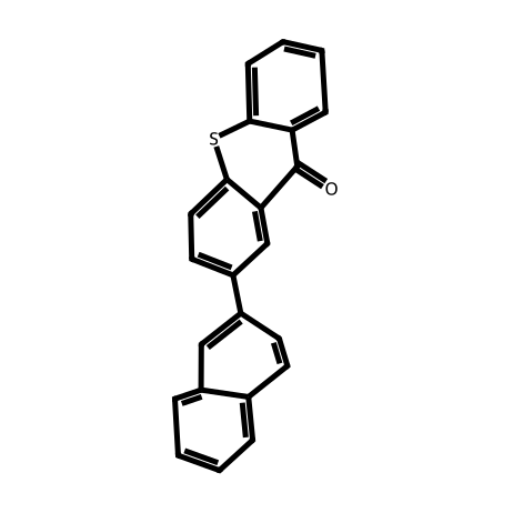 O=c1c2ccccc2sc2ccc(-c3ccc4ccccc4c3)cc12